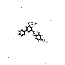 O=C(O)c1cc(COc2ccc(C(F)(F)F)cc2Cl)cc(-c2ccccc2)c1